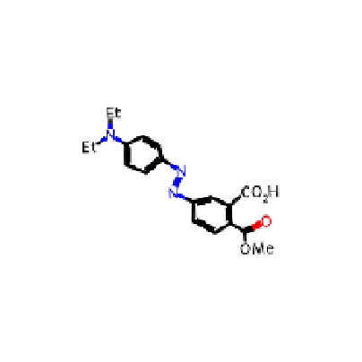 CCN(CC)c1ccc(N=Nc2ccc(C(=O)OC)c(C(=O)O)c2)cc1